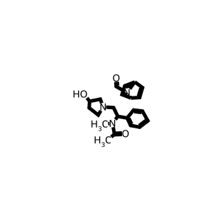 CC(=O)N(C)C(CN1CCC(O)C1)c1ccccc1.O=Cn1c2ccc1cc2